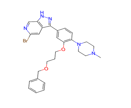 CN1CCN(c2ccc(-c3n[nH]c4cnc(Br)cc34)cc2OCCCOCc2ccccc2)CC1